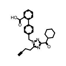 C#CCCc1nc(C(=O)C2CCCCC2)nn1Cc1ccc(-c2ccccc2C(=O)O)cc1